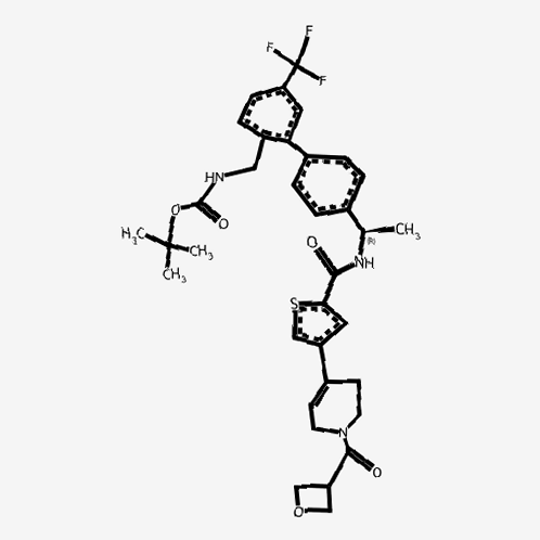 C[C@@H](NC(=O)c1cc(C2=CCN(C(=O)C3COC3)CC2)cs1)c1ccc(-c2cc(C(F)(F)F)ccc2CNC(=O)OC(C)(C)C)cc1